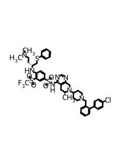 C[C@H]1Cc2c(ncnc2NS(=O)(=O)c2ccc(N[C@H](CCN(C)C)CSc3ccccc3)c(S(=O)(=O)C(F)(F)F)c2)CN1C1CCN(Cc2ccccc2-c2ccc(Cl)cc2)CC1